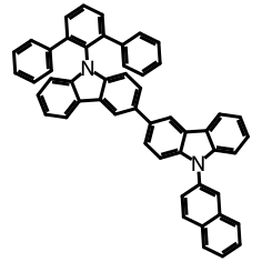 c1ccc(-c2cccc(-c3ccccc3)c2-n2c3ccccc3c3cc(-c4ccc5c(c4)c4ccccc4n5-c4ccc5ccccc5c4)ccc32)cc1